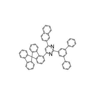 c1ccc(-c2cc(-c3ccccc3)cc(-c3nc(-c4ccc5ccccc5c4)cc(-c4cccc5c4-c4ccccc4C54c5ccccc5-c5ccccc54)n3)c2)cc1